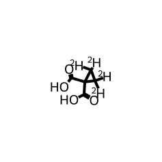 [2H]C1([2H])C([2H])([2H])C1(C(=O)O)C(=O)O